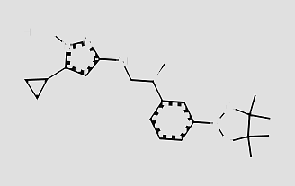 C[C@H](CNc1cc(C2CC2)n(C(=O)O)n1)c1cccc(B2OC(C)(C)C(C)(C)O2)c1